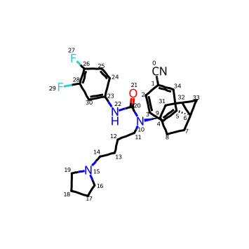 N#Cc1cccc([C@]23CC[C@@H](N(CCCCN4CCCC4)C(=O)Nc4ccc(F)c(F)c4)CC2C3)c1